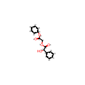 O=C(COC(=O)[C@H](O)c1ccccc1)Oc1ccccc1